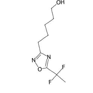 CC(F)(F)c1nc(CCCCCO)no1